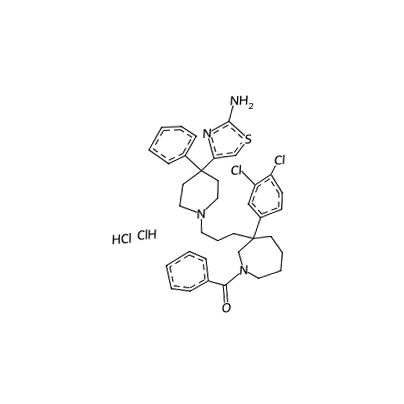 Cl.Cl.Nc1nc(C2(c3ccccc3)CCN(CCCC3(c4ccc(Cl)c(Cl)c4)CCCCN(C(=O)c4ccccc4)C3)CC2)cs1